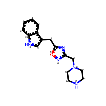 c1ccc2c(Cc3nc(CN4CCNCC4)no3)c[nH]c2c1